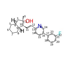 C[C@]1(O)C[C@H]2CCCC[C@H]2[C@@H]1C=Cc1ccc(-c2cccc(F)c2)cn1